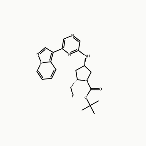 CC(C)(C)OC(=O)N1C[C@H](Nc2cncc(-c3cnn4ccccc34)n2)C[C@H]1CF